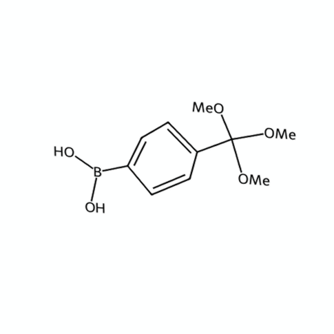 COC(OC)(OC)c1ccc(B(O)O)cc1